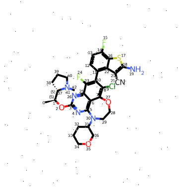 C[C@H](Oc1nc2c3c(c(Cl)c(-c4ccc(F)c5sc(N)c(C#N)c45)c(F)c3n1)OCCN2C1CCCOC1)[C@@H]1CCCN1C